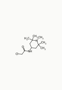 CN1C(C)(C)CC(NC(=O)CCl)CC1(C)C